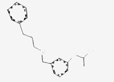 CC(Oc1cccc(CNCCCc2ccccc2)c1)C(=O)O